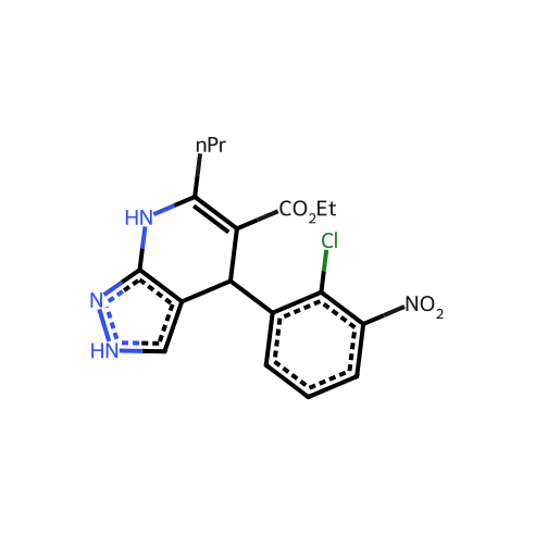 CCCC1=C(C(=O)OCC)C(c2cccc([N+](=O)[O-])c2Cl)c2c[nH]nc2N1